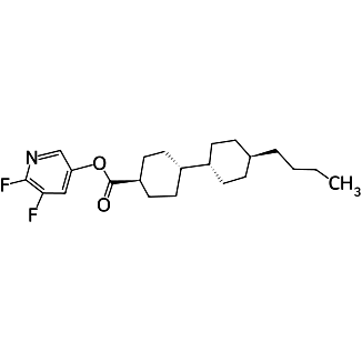 CCCC[C@H]1CC[C@H]([C@H]2CC[C@H](C(=O)Oc3cnc(F)c(F)c3)CC2)CC1